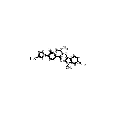 Cc1cn(-c2ccc3n(c2=O)C[C@@H](C)N(Cc2cn(C)c4cc(C(F)(F)F)ccc24)C3=O)cn1